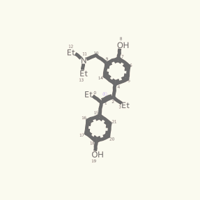 CC/C(=C(/CC)c1ccc(O)c(CN(CC)CC)c1)c1ccc(O)cc1